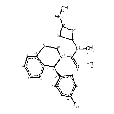 CNC1CC(N(C)C(=O)N2CCc3ccccc3[C@@H]2c2ccc(F)cc2)C1.Cl